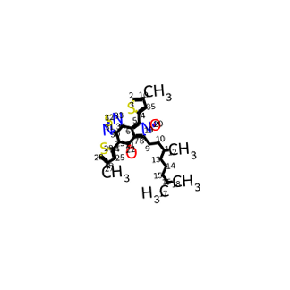 Cc1csc(C2=C3C(=C(CCC(C)CCCC(C)C)[N+]2=O)C(=O)C(c2cc(C)cs2)c2nsnc23)c1